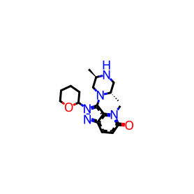 C[C@@H]1CN(c2c3c(ccc(=O)n3C)nn2C2CCCCO2)[C@@H](C)CN1